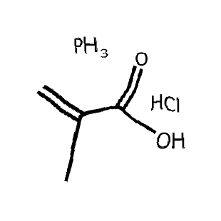 C=C(C)C(=O)O.Cl.P